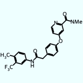 CNC(=O)c1cc(Oc2ccc(CC(=O)Nc3ccc(C)c(C(F)(F)F)c3)cc2)ccn1